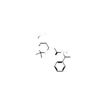 CC(NC(=O)C[C@H]1C[C@@H](CO)OC(C)(C)O1)c1ccccc1